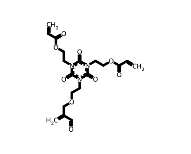 C=CC(=O)OCCn1c(=O)n(CCOCC(=C)C=O)c(=O)n(CCOC(=O)C=C)c1=O